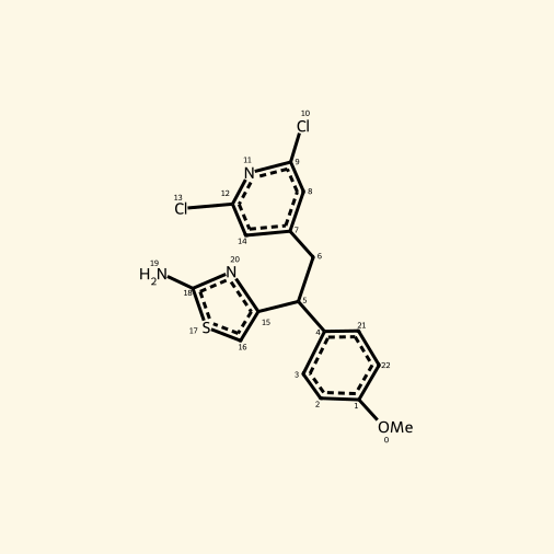 COc1ccc(C(Cc2cc(Cl)nc(Cl)c2)c2csc(N)n2)cc1